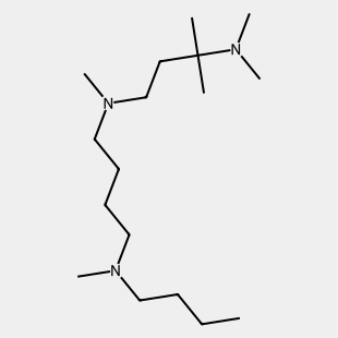 CCCCN(C)CCCCN(C)CCC(C)(C)N(C)C